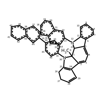 CC12C(=CC=C3c4ccccc4N(c4ccc5ccccc5c4)C31)C1=C(CCC=C1)N2c1ccc(-c2ccc3ccccc3c2)cc1